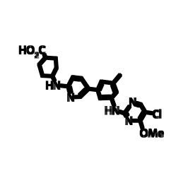 COc1nc(Nc2cc(C)cc(-c3ccc(NC4CCC(C(=O)O)CC4)nc3)c2)ncc1Cl